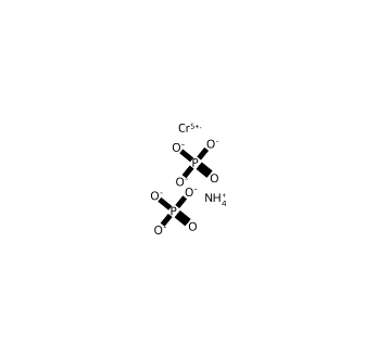 O=P([O-])([O-])[O-].O=P([O-])([O-])[O-].[Cr+5].[NH4+]